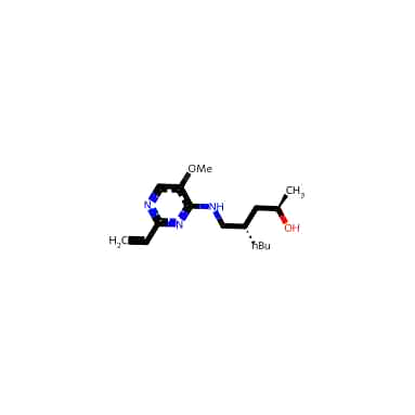 C=Cc1ncc(OC)c(NC[C@@H](CCCC)C[C@@H](C)O)n1